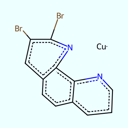 Brc1cc2ccc3cccnc3c2nc1Br.[Cu]